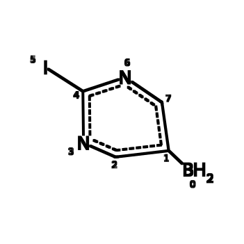 Bc1cnc(I)nc1